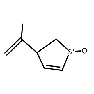 C=C(C)C1C=C[S+]([O-])C1